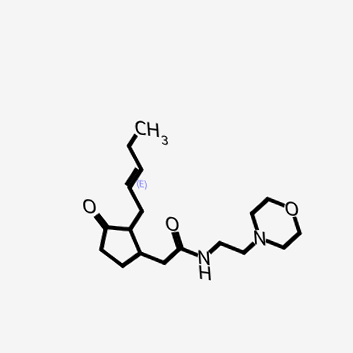 CC/C=C/CC1C(=O)CCC1CC(=O)NCCN1CCOCC1